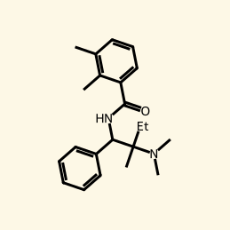 CCC(C)(C(NC(=O)c1cccc(C)c1C)c1ccccc1)N(C)C